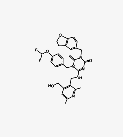 C=C1N(Cc2ccc3c(c2)CCO3)C(=O)N=C(NCc2c(CO)cc(C)nc2C)N1Cc1ccc(OC(F)F)cc1